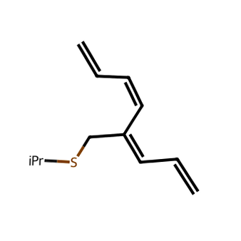 C=C/C=C\C(=C/C=C)CSC(C)C